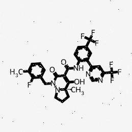 Cc1cccc(CN2C(=O)C(C(=O)Nc3ccc(C(F)(F)F)cc3-c3cc(C(F)(F)F)ncn3)=C(O)[C@@]3(C)CCCN23)c1F